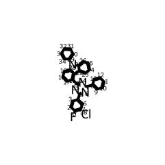 Fc1ccc(-c2nc(-c3ccccc3)nc(-c3cccc4c3c3ccccc3n4-c3ccccc3)n2)cc1Cl